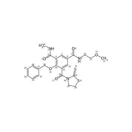 CNC(=O)c1cc(C(=O)NCCOC)cc(C(=O)N2CCSC2=S)c1OCc1ccccc1